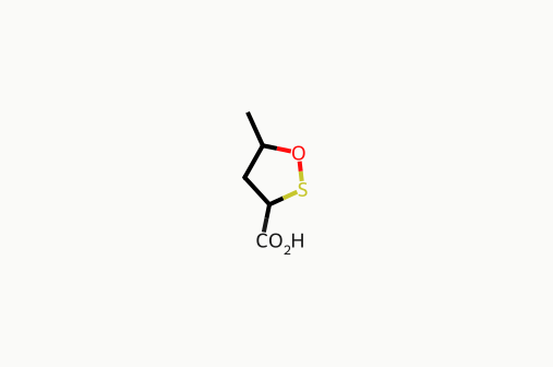 CC1CC(C(=O)O)SO1